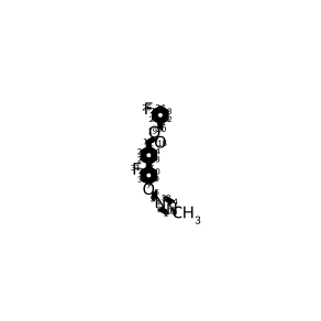 CN1CCN(CCOc2ccc(-c3ccc(CC(=O)OCc4cccc(F)c4)cc3)c(F)c2)CC1